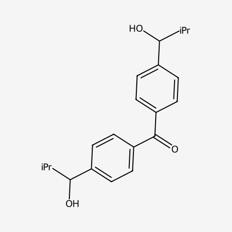 CC(C)C(O)c1ccc(C(=O)c2ccc(C(O)C(C)C)cc2)cc1